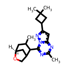 Cc1nc(C2C(C)C[C@H]3CC2CO3)n2nc(C3CC(C)(C)C3)cc2n1